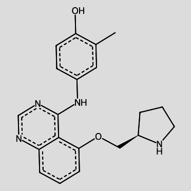 Cc1cc(Nc2ncnc3cccc(OC[C@H]4CCCN4)c23)ccc1O